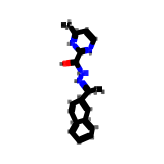 CC(=NNC(=O)c1nccc(C)n1)c1ccc2ccccc2c1